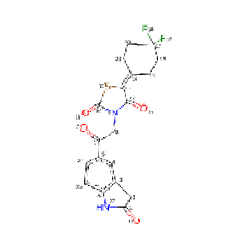 O=C1Cc2cc(C(=O)CN3C(=O)SC(=C4CCC(F)(F)CC4)C3=O)ccc2N1